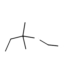 CCC(C)(C)OC[SiH3]